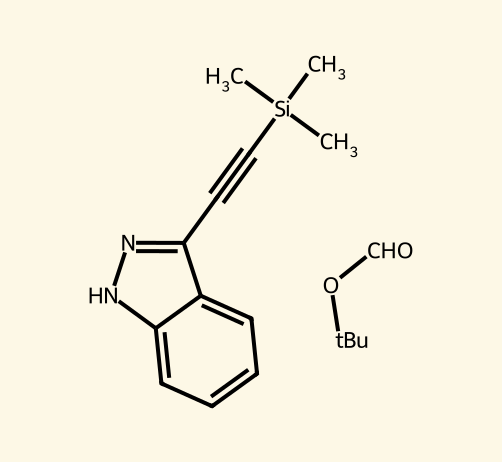 CC(C)(C)OC=O.C[Si](C)(C)C#Cc1n[nH]c2ccccc12